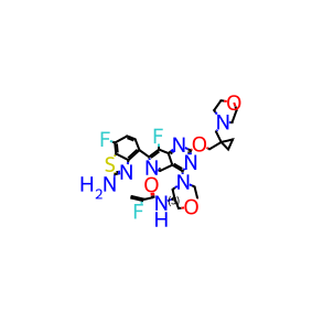 C=C(F)C(=O)N[C@@H]1COCCN(c2nc(OCC3(CN4CCOCC4)CC3)nc3c(F)c(-c4ccc(F)c5sc(N)nc45)ncc23)C1